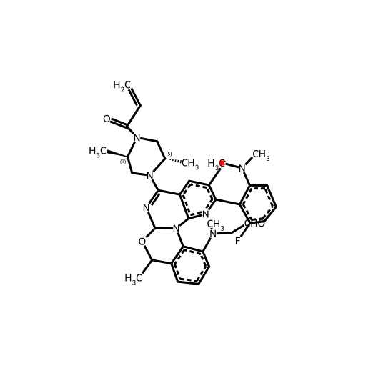 C=CC(=O)N1C[C@H](C)N(C2=NC3OC(C)c4cccc(N(C)CC=O)c4N3c3nc(-c4c(F)cccc4N(C)C)c(F)cc32)C[C@H]1C